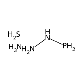 N.NNP.S